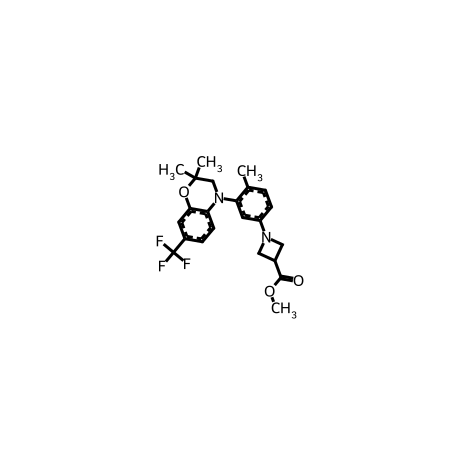 COC(=O)C1CN(c2ccc(C)c(N3CC(C)(C)Oc4cc(C(F)(F)F)ccc43)c2)C1